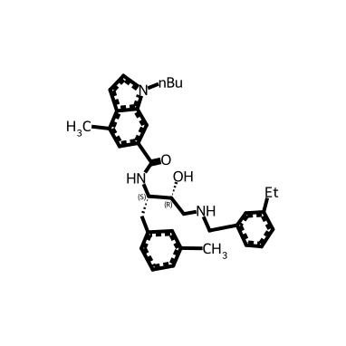 CCCCn1ccc2c(C)cc(C(=O)N[C@@H](Cc3cccc(C)c3)[C@H](O)CNCc3cccc(CC)c3)cc21